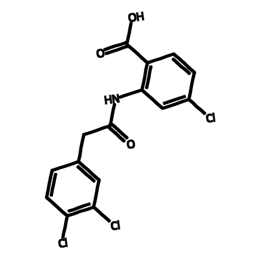 O=C(Cc1ccc(Cl)c(Cl)c1)Nc1cc(Cl)ccc1C(=O)O